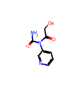 NC(=O)N(C(=O)CO)c1cccnc1